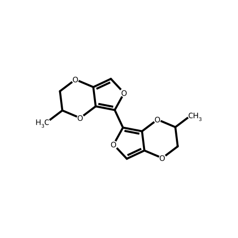 CC1COc2coc(-c3occ4c3OC(C)CO4)c2O1